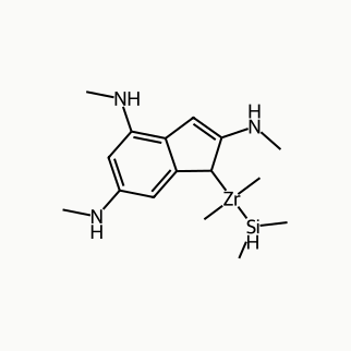 CNC1=Cc2c(NC)cc(NC)cc2[CH]1[Zr]([CH3])([CH3])[SiH](C)C